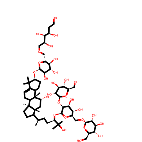 C[C@H](CC[C@@H](O[C@@H]1O[C@H](CO[C@@H]2O[C@H](CO)[C@@H](O)[C@H](O)[C@H]2O)[C@@H](O)[C@H](O)[C@H]1O[C@@H]1O[C@H](CO)[C@@H](O)[C@H](O)[C@H]1O)C(C)(C)O)C1CC[C@@]2(C)C3CC=C4C(CC[C@H](O[C@@H]5O[C@H](COC[C@H](O)[C@@H](O)[C@H](O)CCO)[C@@H](O)[C@H](O)[C@H]5O)C4(C)C)[C@]3(C)[C@H](O)C[C@]12C